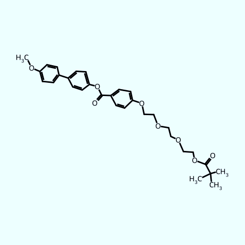 COc1ccc(-c2ccc(OC(=O)c3ccc(OCCOCCOCCOC(=O)C(C)(C)C)cc3)cc2)cc1